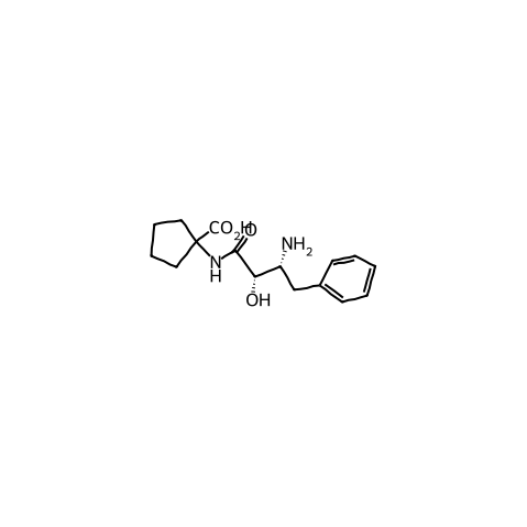 N[C@H](Cc1ccccc1)[C@H](O)C(=O)NC1(C(=O)O)CCCC1